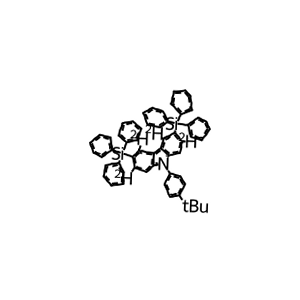 [2H]c1cc2c(c([2H])c1[Si](c1ccccc1)(c1ccccc1)c1ccccc1)c1c([2H])c([Si](c3ccccc3)(c3ccccc3)c3ccccc3)c([2H])cc1n2-c1ccc(C(C)(C)C)cc1